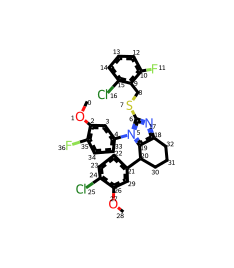 COc1cc(-n2c(SCc3c(F)cccc3Cl)nc3c2C(c2ccc(Cl)c(OC)c2)CCC3)ccc1F